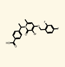 Cc1cc(OCc2ccc(F)cc2F)c(Br)c(=O)n1C(C)c1ccc(C(=O)O)cc1